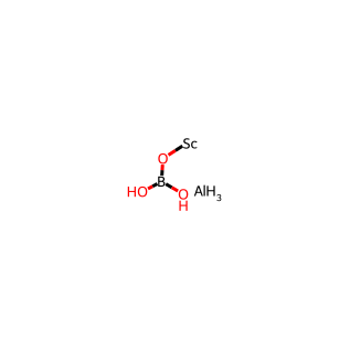 OB(O)[O][Sc].[AlH3]